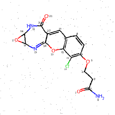 NC(=O)CCOc1ccc2c(c1Cl)OC1=NC3OC3NC(=O)C1=C2